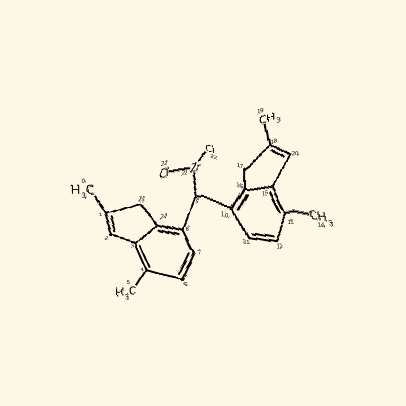 CC1=Cc2c(C)ccc([CH](c3ccc(C)c4c3CC(C)=C4)[Zr]([Cl])[Cl])c2C1